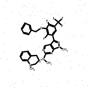 CN1C[C@@H](N(C)c2ncc3c(-c4cc(C(F)(F)F)c(F)c(OCc5ccccc5)c4F)nn(C)c3n2)Cc2ccccc21